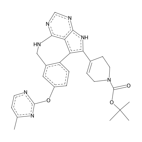 Cc1ccnc(Oc2ccc3c(c2)CNc2ncnc4[nH]c(C5=CCN(C(=O)OC(C)(C)C)CC5)c-3c24)n1